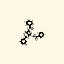 CC1C(OC(=O)c2ccccc2)[C@@H](COC(=O)c2ccccc2)O[C@@H]1OC(=O)c1ccccc1